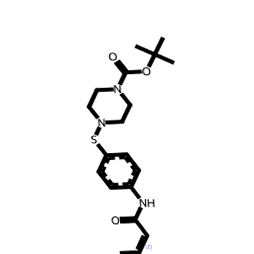 C/C=C\C(=O)Nc1ccc(SN2CCN(C(=O)OC(C)(C)C)CC2)cc1